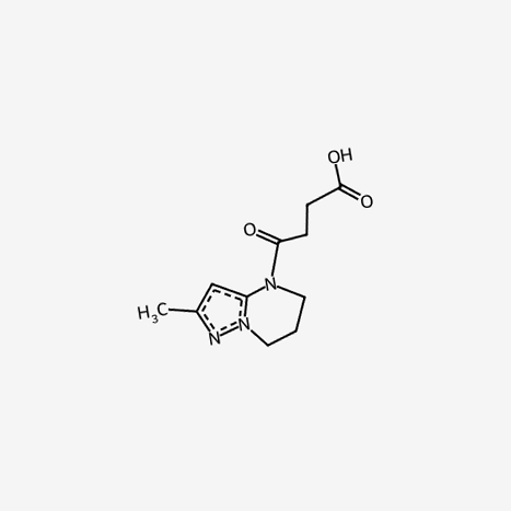 Cc1cc2n(n1)CCCN2C(=O)CCC(=O)O